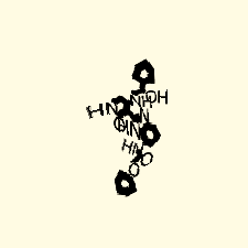 O=C(COc1ccccc1)Nc1cccc2nc(-c3c(NCC(O)c4ccccc4)cc[nH]c3=O)[nH]c12